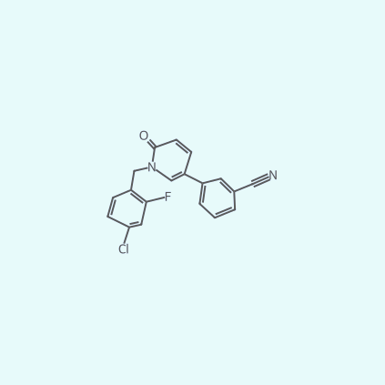 N#Cc1cccc(-c2ccc(=O)n(Cc3ccc(Cl)cc3F)c2)c1